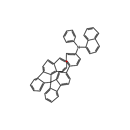 c1ccc(N(c2ccc(-c3ccc4c(c3)C3(c5ccccc5-4)c4ccccc4-c4ccc5ccccc5c43)cc2)c2cccc3ccccc23)cc1